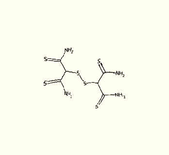 NC(=S)C(SSC(C(N)=S)C(N)=S)C(N)=S